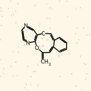 C=C1/C=c2/cccc/c2=C/CC2=C(N=C=CN=C2)O1